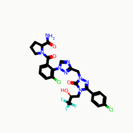 NC(=O)C1CCCN1C(=O)c1cccc(Cl)c1-n1cnc(Cn2nc(-c3ccc(Cl)cc3)n(C[C@H](O)C(F)(F)F)c2=O)n1